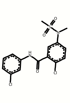 CN(c1ccc(Cl)c(C(=O)Nc2cccc(Cl)c2)c1)S(C)(=O)=O